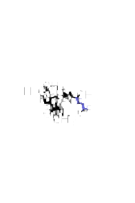 C/C(F)=C\C=C(/C)c1csc(OCc2c(-n3nnn(C)c3=O)cnn2C(C)(C)C)n1